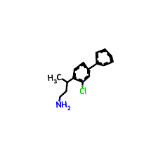 CC(CCN)c1ccc(-c2ccccc2)cc1Cl